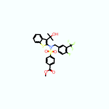 COC(=O)c1ccc(S(=O)(=O)N(Cc2ccc(F)c(C(F)(F)F)c2)c2sc3ccccc3c2C(C)(C)O)cc1